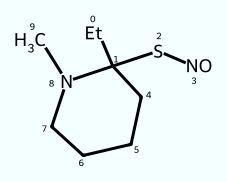 [CH2]CC1(SN=O)CCCCN1C